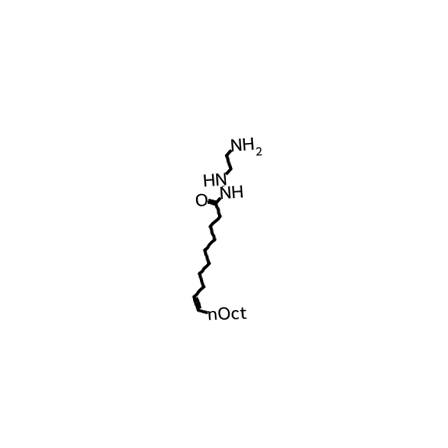 CCCCCCCC/C=C\CCCCCCCC(=O)NNCCN